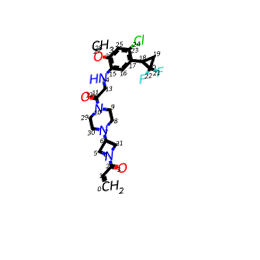 C=CC(=O)N1CC(N2CCN(C(=O)CNc3cc(C4CC4(F)F)c(Cl)cc3OC)CC2)C1